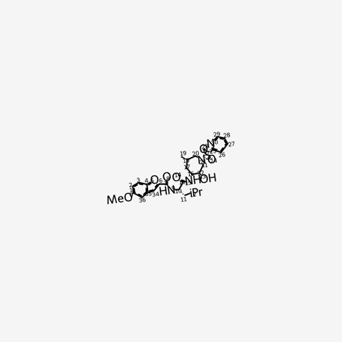 COc1ccc2oc(C(=O)N[C@@H](CC(C)C)C(=O)N[C@@H]3C[C@@H](C)CN(S(=O)(=O)c4ccccn4)C[C@H]3O)cc2c1